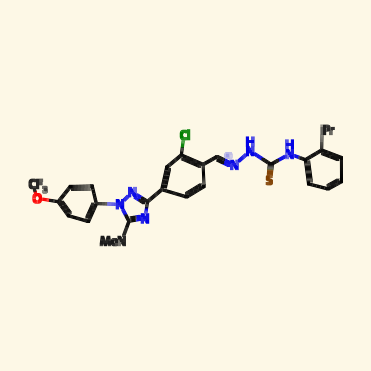 CNc1nc(-c2ccc(/C=N/NC(=S)Nc3ccccc3C(C)C)c(Cl)c2)nn1-c1ccc(OC(F)(F)F)cc1